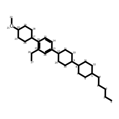 CCCCCC1CCC(C2CCC(c3ccc(C4CCC(OC)CC4)c(CC)c3)CC2)CC1